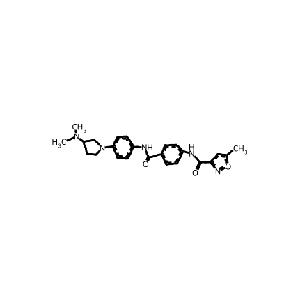 Cc1cc(C(=O)Nc2ccc(C(=O)Nc3ccc(N4CCC(N(C)C)C4)cc3)cc2)no1